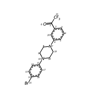 O=C(c1cccc(N2CCN(c3ccc(Br)cc3)CC2)c1)C(F)(F)F